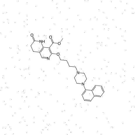 COC(=O)c1c(OCCCCN2CCN(c3cccc4ccccc34)CC2)ncc2c1NC(=O)CC2